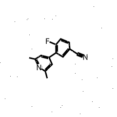 Cc1cc(-c2cc(C#N)ccc2F)cc(C)n1